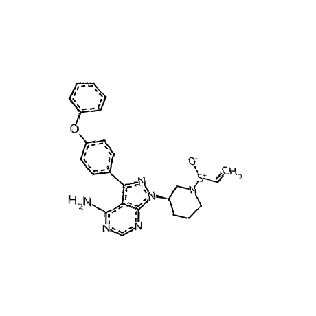 C=C[S+]([O-])N1CCC[C@@H](n2nc(-c3ccc(Oc4ccccc4)cc3)c3c(N)ncnc32)C1